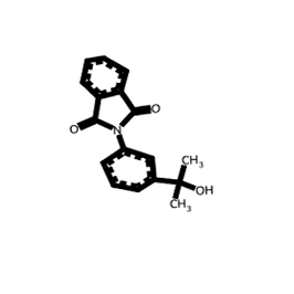 CC(C)(O)c1cccc(N2C(=O)c3ccccc3C2=O)c1